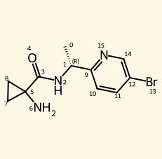 C[C@@H](NC(=O)C1(N)CC1)c1ccc(Br)cn1